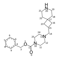 O=C(OCc1ccccc1)N1CCN(CC2CC3(CCNCC3)C2)CC1